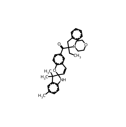 CCC(Cc1ccccc1)(C(=O)c1ccc2c(c1)C=CC1(Nc3ccc(C)cc3C1(C)C)O2)N1CCOCC1